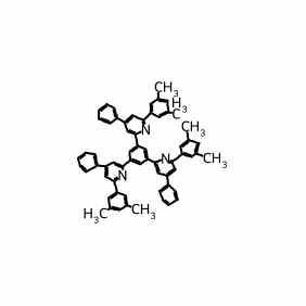 Cc1cc(C)cc(-c2cc(-c3ccccc3)cc(-c3cc(-c4cc(-c5ccccc5)cc(-c5cc(C)cc(C)c5)n4)cc(-c4cc(-c5ccccc5)cc(-c5cc(C)cc(C)c5)n4)c3)n2)c1